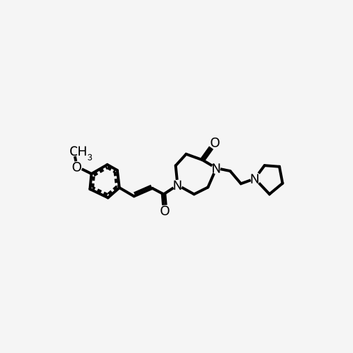 COc1ccc(C=CC(=O)N2CCC(=O)N(CCN3CCCC3)CC2)cc1